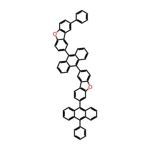 c1ccc(-c2ccc3oc4ccc(-c5c6ccccc6c(-c6ccc7oc8cc(-c9c%10ccccc%10c(-c%10ccccc%10)c%10ccccc9%10)ccc8c7c6)c6ccccc56)cc4c3c2)cc1